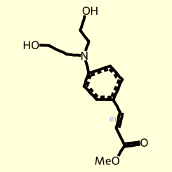 COC(=O)/C=C/c1ccc(N(CCO)CCO)cc1